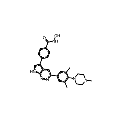 Cc1cc(-c2cc3c(-c4ccc(C(=O)NO)cc4)c[nH]c3nn2)cc(C)c1N1CCN(C)CC1